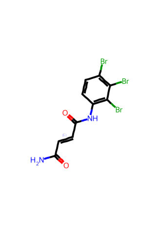 NC(=O)/C=C/C(=O)Nc1ccc(Br)c(Br)c1Br